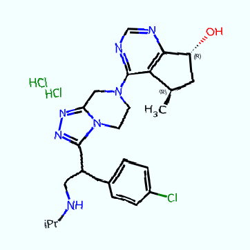 CC(C)NCC(c1ccc(Cl)cc1)c1nnc2n1CCN(c1ncnc3c1[C@H](C)C[C@H]3O)C2.Cl.Cl